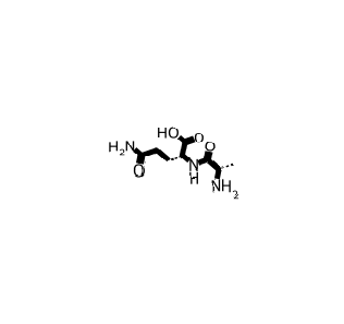 C[C@H](N)C(=O)N[C@H](CCC(N)=O)C(=O)O